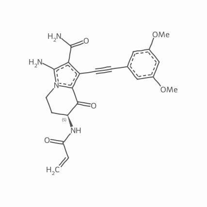 C=CC(=O)N[C@H]1CCn2c(N)c(C(N)=O)c(C#Cc3cc(OC)cc(OC)c3)c2C1=O